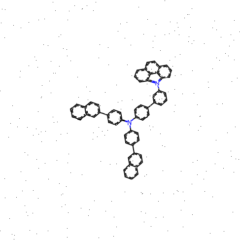 c1cc(-c2ccc(N(c3ccc(-c4ccc5ccccc5c4)cc3)c3ccc(-c4ccc5ccccc5c4)cc3)cc2)cc(-n2c3cccc4ccc5cccc2c5c43)c1